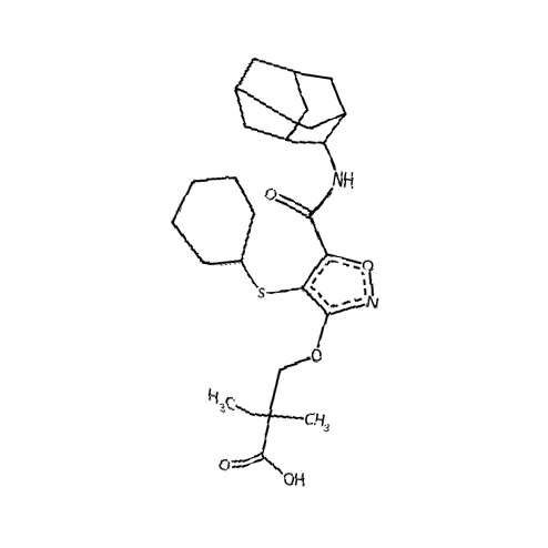 CC(C)(COc1noc(C(=O)NC2C3CC4CC(C3)CC2C4)c1SC1CCCCC1)C(=O)O